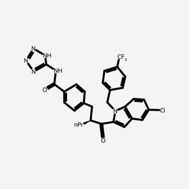 CCC[C@@H](Cc1ccc(C(=O)Nc2nnn[nH]2)cc1)C(=O)c1cc2cc(Cl)ccc2n1Cc1ccc(C(F)(F)F)cc1